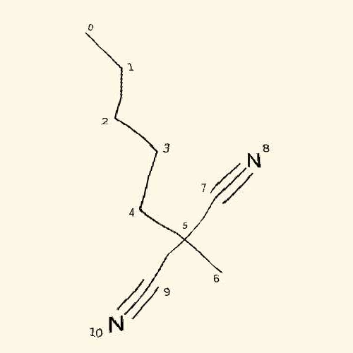 CCCCCC(C)(C#N)C#N